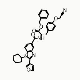 N#CCOc1ccc(C[C@H](NC(=O)c2ccc3c(c2)nc(-c2ccoc2)n3C2CCCCC2)C(=O)OCc2ccccc2)cc1